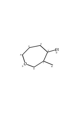 [CH2]CC1CCCOCC1C